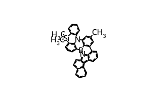 Cc1cc2c3c(c1)N1c4ccccc4[Si](C)(C)c4cccc(c41)B3n1c3ccc4ccccc4c3c3cccc-2c31